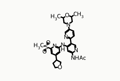 CC(=O)Nc1cc(Nc2cc(C3CCOC3)cc(S(C)(=O)=O)n2)c(-c2ccc(N3CC(C)OC(C)C3)cn2)cn1